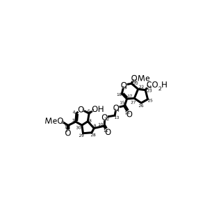 COC(=O)C1=COC(O)C2C(C(=O)OCOC(=O)C3=COC(OC)C4C(C(=O)O)CCC34)CCC12